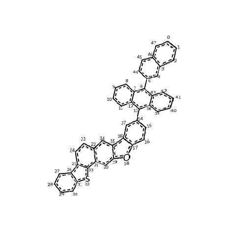 c1ccc2cc(-c3c4ccccc4c(-c4ccc5oc6cc7c(ccc8c9ccccc9sc78)cc6c5c4)c4ccccc34)ccc2c1